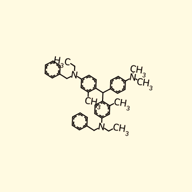 CCN(Cc1ccccc1)c1ccc(C(c2ccc(N(C)C)cc2)c2ccc(N(CC)Cc3ccccc3)cc2C)c(C)c1